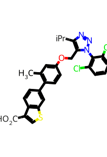 Cc1cc(OCc2c(C(C)C)nnn2-c2c(Cl)cccc2Cl)ccc1-c1ccc2c(C(=O)O)csc2c1